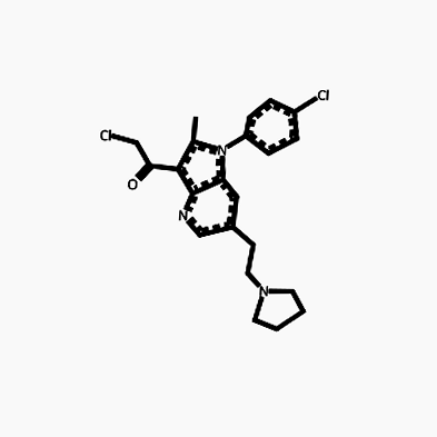 Cc1c(C(=O)CCl)c2ncc(CCN3CCCC3)cc2n1-c1ccc(Cl)cc1